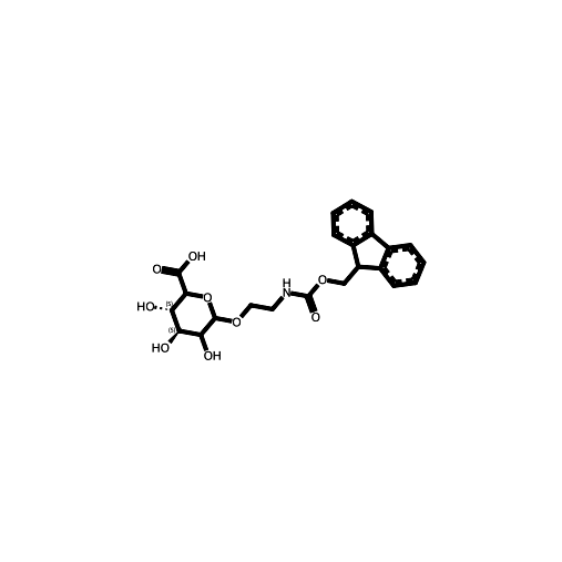 O=C(NCCOC1OC(C(=O)O)[C@@H](O)[C@H](O)C1O)OCC1c2ccccc2-c2ccccc21